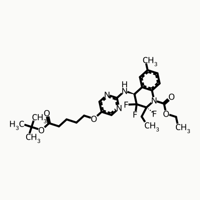 CCOC(=O)N1c2ccc(C)cc2[C@H](Nc2ncc(OCCCCC(=O)OC(C)(C)C)cn2)C(F)(F)[C@]1(F)CC